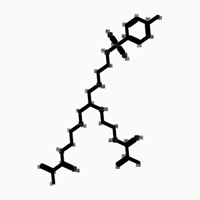 C=C(C)C(=O)OCCOCC(COCCOS(=O)(=O)c1ccc(C)cc1)OCCOC(=O)C(=C)C